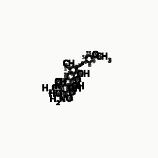 CCc1cc(C#Cc2ccc(OC)cc2)c(O)c2c1CC1CC3C(N(C)C)C(O)=C(C(N)=O)C(=O)C3(O)C(O)=C1C2=O